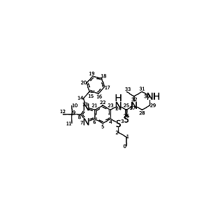 CCCSc1cc2nc(C(C)(C)C)n(Cc3ccccc3)c2cc1NC(=S)N1CCNCC1C